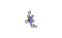 Cc1cc(C)c(-c2ccc3sc4c(c3c2)N(c2ccccc2)c2cc(C)cc3c2B4c2cc4c(cc2N3c2ccc(C(C)(C)C)cc2-c2ccccc2)C(C)(C)CCC4(C)C)c(C)c1